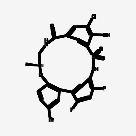 CCc1ccc2c(c1)-c1cc(c(F)cc1F)NS(=O)(=O)c1cc(cc(Cl)c1O)C(=O)NC[C@H](C)O2